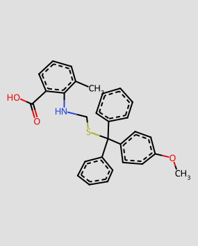 COc1ccc(C(SCNc2c(C)cccc2C(=O)O)(c2ccccc2)c2ccccc2)cc1